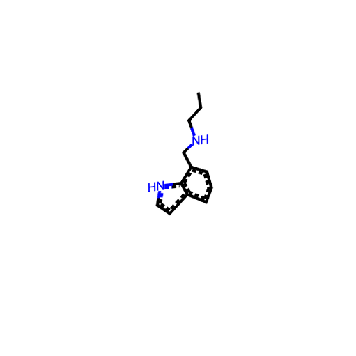 CCCNCc1cccc2cc[nH]c12